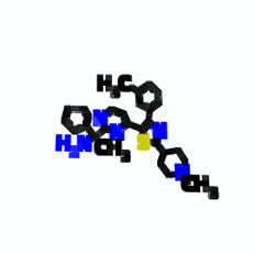 Cc1cccc(-c2nc(C3CCN(C)CC3)sc2-c2ccnc([C@@](C)(N)c3ccccc3)n2)c1